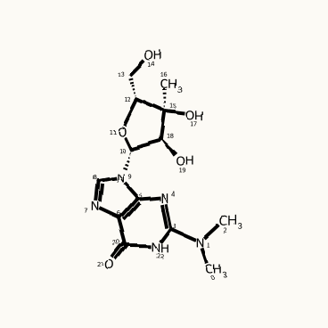 CN(C)c1nc2c(ncn2[C@@H]2O[C@H](CO)[C@@](C)(O)[C@H]2O)c(=O)[nH]1